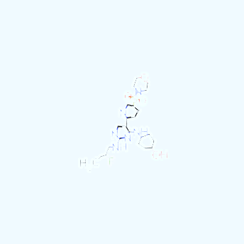 CC[C@H](F)CNc1ncc(-c2ccc(S(=O)(=O)N3CCOCC3)cn2)c(N[C@H]2CC[C@H](O)CC2)n1